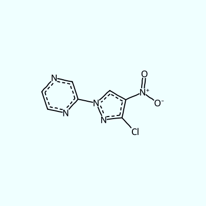 O=[N+]([O-])c1cn(-c2cnccn2)nc1Cl